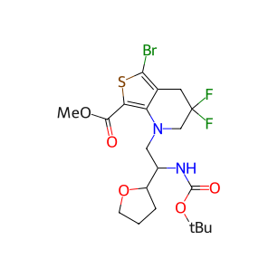 COC(=O)c1sc(Br)c2c1N(CC(NC(=O)OC(C)(C)C)C1CCCO1)CC(F)(F)C2